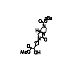 CCCCOC(=O)N1CCN2C(=O)N(C34CC(C(O)C(=O)OC)(C3)C4)C[C@@H]2C1